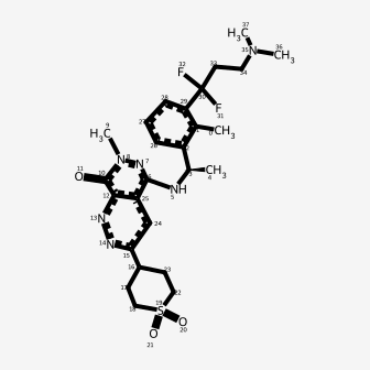 Cc1c([C@@H](C)Nc2nn(C)c(=O)c3nnc(C4CCS(=O)(=O)CC4)cc23)cccc1C(F)(F)CCN(C)C